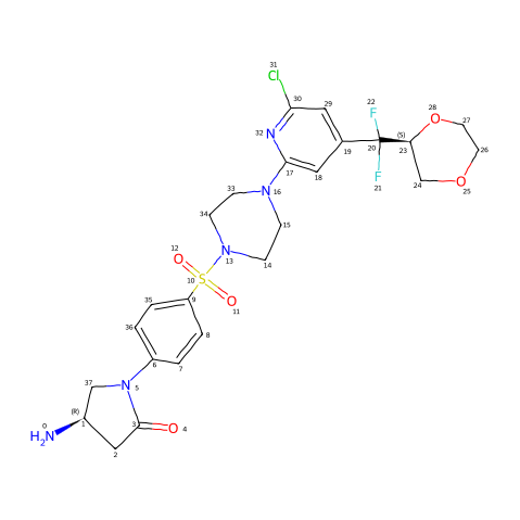 N[C@@H]1CC(=O)N(c2ccc(S(=O)(=O)N3CCN(c4cc(C(F)(F)[C@@H]5COCCO5)cc(Cl)n4)CC3)cc2)C1